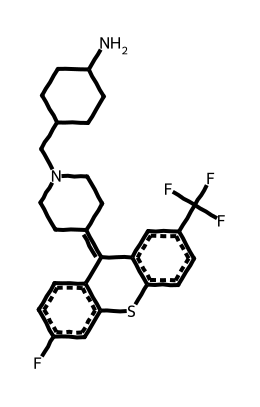 NC1CCC(CN2CCC(=C3c4ccc(F)cc4Sc4ccc(C(F)(F)F)cc43)CC2)CC1